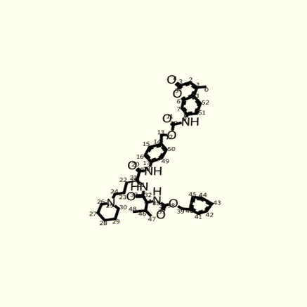 Cc1cc(=O)oc2cc(NC(=O)OCc3ccc(NC(=O)[C@H](CCCN4CCCCC4)NC(=O)C(NC(=O)OCc4ccccc4)C(C)C)cc3)ccc12